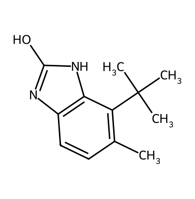 Cc1ccc2nc(O)[nH]c2c1C(C)(C)C